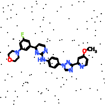 COc1ccnc(-c2ncn(-c3ccc(Nc4nccc(-c5cc(F)cc(N6CCOCC6)c5)n4)cc3)n2)c1